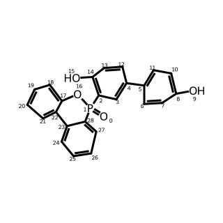 O=P1(c2cc(-c3ccc(O)cc3)ccc2O)Oc2ccccc2-c2ccccc21